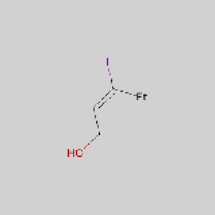 CC/C(I)=C\CO